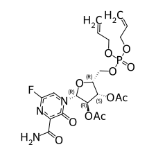 C=CCOP(=O)(OCC=C)OC[C@H]1O[C@@H](n2cc(F)nc(C(N)=O)c2=O)[C@H](OC(C)=O)[C@H]1OC(C)=O